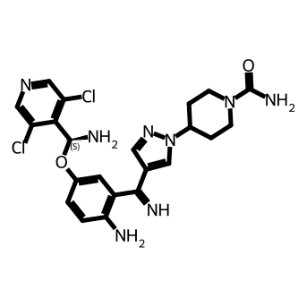 N=C(c1cnn(C2CCN(C(N)=O)CC2)c1)c1cc(O[C@H](N)c2c(Cl)cncc2Cl)ccc1N